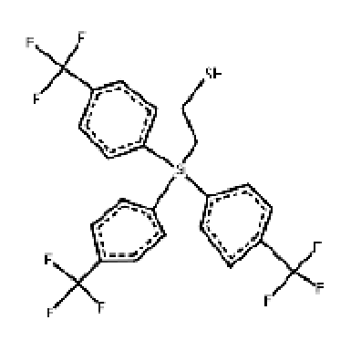 FC(F)(F)c1ccc([Si](CCS)(c2ccc(C(F)(F)F)cc2)c2ccc(C(F)(F)F)cc2)cc1